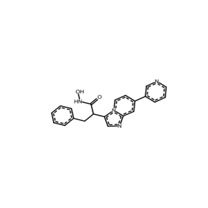 O=C(NO)C(Cc1ccccc1)c1cnc2cc(-c3cccnc3)ccn12